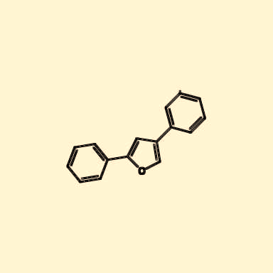 [c]1cccc(-c2coc(-c3ccccc3)c2)c1